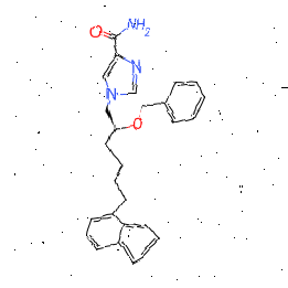 NC(=O)c1cn(C[C@H](CCCCc2cccc3ccccc23)OCc2ccccc2)cn1